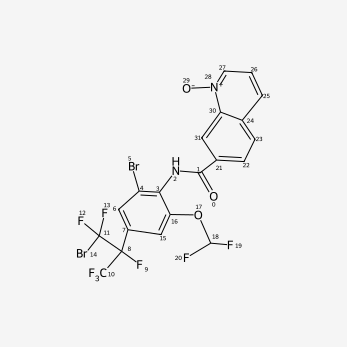 O=C(Nc1c(Br)cc(C(F)(C(F)(F)F)C(F)(F)Br)cc1OC(F)F)c1ccc2ccc[n+]([O-])c2c1